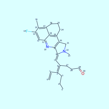 C=C/C(CCC)=C(\C=C1\c2nc3cc(F)c(C)c4c3c(c2CN1C)CCC4)CCC=O